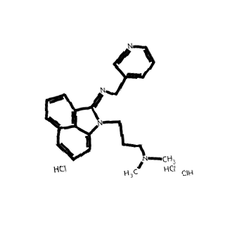 CN(C)CCCN1C(=NCc2cccnc2)c2cccc3cccc1c23.Cl.Cl.Cl